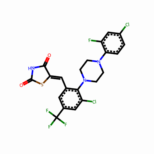 O=C1NC(=O)/C(=C/c2cc(C(F)(F)F)cc(Cl)c2N2CCN(c3ccc(Cl)cc3F)CC2)S1